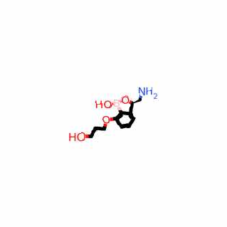 NC[C@@H]1OB(O)c2c(OCCCO)cccc21